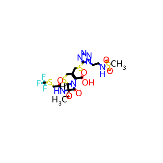 CO[C@@]1(NC(=O)CSC(F)(F)F)C(=O)N2C(C(=O)O)=C(CSc3nnnn3CCNS(C)(=O)=O)CS[C@@H]21